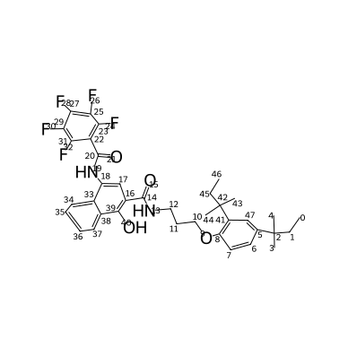 CCC(C)(C)c1ccc(OCCCNC(=O)c2cc(NC(=O)c3c(F)c(F)c(F)c(F)c3F)c3ccccc3c2O)c(C(C)(C)CC)c1